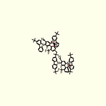 CC(C)(C)c1ccc2c(c1)c1ccccc1n2-c1cc(-c2c(C(F)(F)F)cc(CC(C)(C)c3ccc4c5ccc(C(C)(C)C)cc5n(-c5cc(-c6c(C(F)(F)F)cccc6C(F)(F)F)c(-n6c7cc(C(C)(C)C)ccc7c7ccc(C(C)(C)C)cc76)cc5C#N)c4c3)cc2C(F)(F)F)c(-n2c3ccccc3c3cc(C(C)(C)C)ccc32)cc1C#N